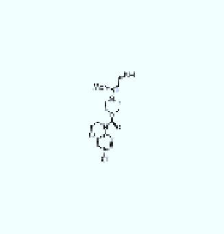 CN/C(=C\C=N)N1CCN(C(=O)N2CCOc3cc(Cl)ccc32)CC1